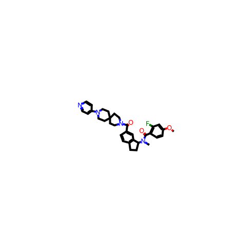 COc1ccc(C(=O)N(C)C2CCc3ccc(C(=O)N4CCC5(CC4)CCN(c4ccncc4)CC5)cc32)c(F)c1